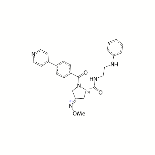 CO/N=C1\C[C@@H](C(=O)NCCNc2ccccc2)N(C(=O)c2ccc(-c3ccncc3)cc2)C1